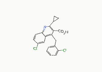 O=C(O)c1c(C2CC2)nc2ccc(Cl)cc2c1Cc1ccccc1Cl